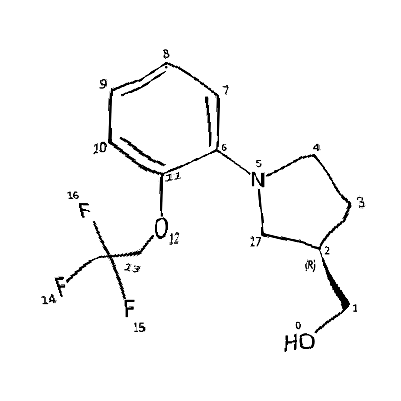 OC[C@@H]1CCN(c2c[c]ccc2OC(F)(F)F)C1